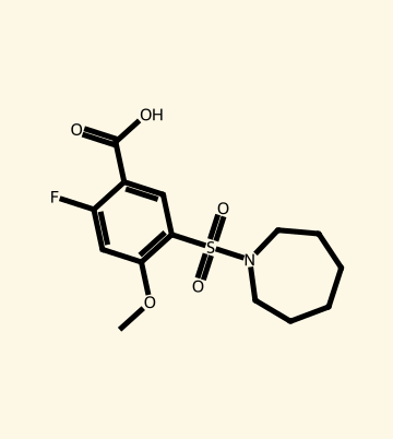 COc1cc(F)c(C(=O)O)cc1S(=O)(=O)N1CCCCCC1